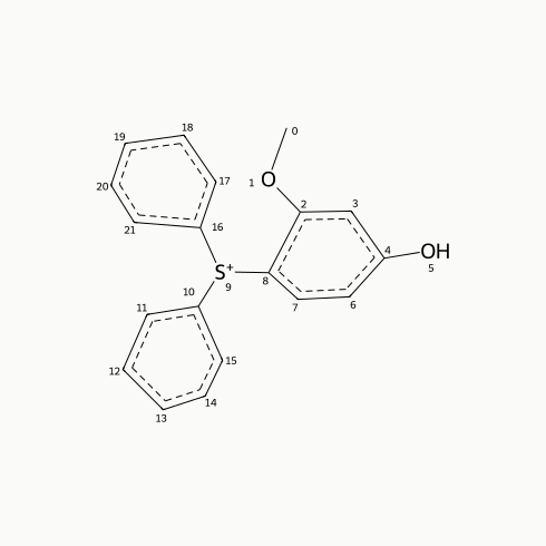 COc1cc(O)ccc1[S+](c1ccccc1)c1ccccc1